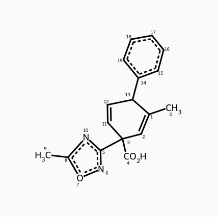 CC1=CC(C(=O)O)(c2noc(C)n2)C=CC1c1ccccc1